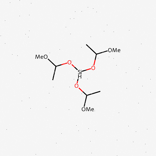 COC(C)O[SiH](OC(C)OC)OC(C)OC